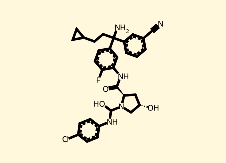 N#Cc1cccc(C(N)(CCC2CC2)c2ccc(F)c(NC(=O)[C@H]3C[C@H](O)CN3C(O)Nc3ccc(Cl)cc3)c2)c1